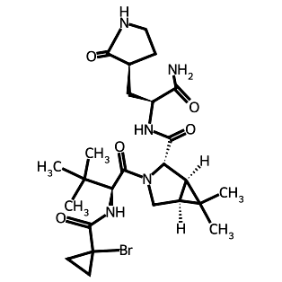 CC(C)(C)[C@H](NC(=O)C1(Br)CC1)C(=O)N1C[C@H]2[C@@H]([C@H]1C(=O)N[C@@H](C[C@@H]1CCNC1=O)C(N)=O)C2(C)C